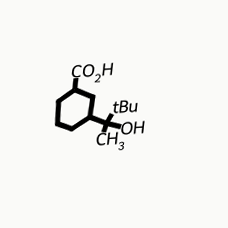 CC(C)(C)C(C)(O)C1CCCC(C(=O)O)C1